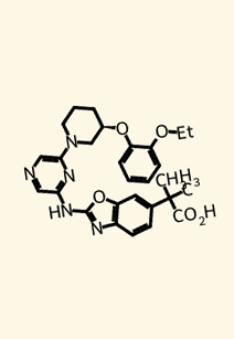 CCOc1ccccc1O[C@@H]1CCCN(c2cncc(Nc3nc4ccc(C(C)(C)C(=O)O)cc4o3)n2)C1